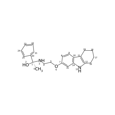 C[C@@](O)(NCCOc1ccc2c3c([nH]c2c1)CCCC3)c1ccccc1